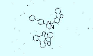 c1ccc(-c2ccc(-c3cc(-c4ccc5c(c4)C4(c6ccccc6-c6ccccc6-c6ccccc64)c4ccccc4-5)nc(-c4ccc5oc6ccccc6c5c4)n3)cc2)cc1